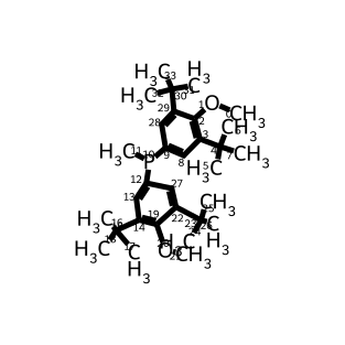 COc1c(C(C)(C)C)cc(P(C)c2cc(C(C)(C)C)c(OC)c(C(C)(C)C)c2)cc1C(C)(C)C